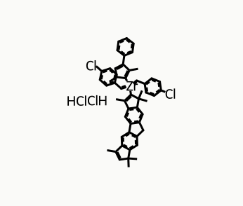 CC1=CC(C)(C)c2cc3c(cc21)-c1cc2c(cc1C3)C(C)(C)[C]([Zr](=[CH]c1ccc(Cl)cc1)(=[CH]c1ccc(Cl)cc1)[C]1=C(C)C(c3ccccc3)=CC1C)=C2C.Cl.Cl